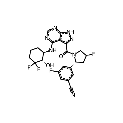 N#Cc1cc(F)cc([C@H]2C[C@H](F)CN2C(=O)c2n[nH]c3ncnc(N[C@@H]4CCCC(F)(F)[C@H]4O)c23)c1